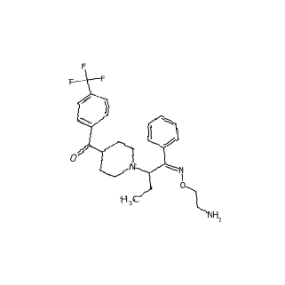 CCC(C(=NOCCN)c1ccccc1)N1CCC(C(=O)c2ccc(C(F)(F)F)cc2)CC1